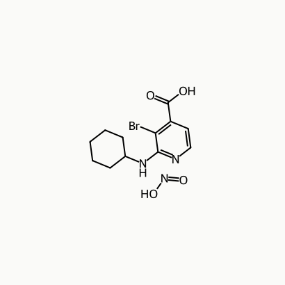 O=C(O)c1ccnc(NC2CCCCC2)c1Br.O=NO